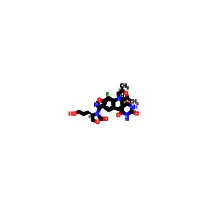 C[C@@H]1CN2c3c(cc4c(N5C(=O)OC[C@@H]5CCCO)noc4c3F)CC3(C(=O)NC(=O)NC3=O)[C@H]2[C@H](C)O1